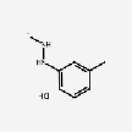 Cc1cccc(NNF)c1.Cl